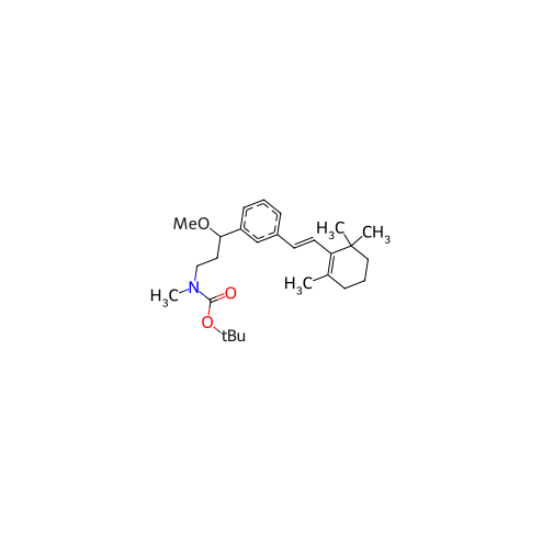 COC(CCN(C)C(=O)OC(C)(C)C)c1cccc(/C=C/C2=C(C)CCCC2(C)C)c1